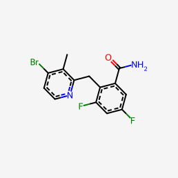 Cc1c(Br)ccnc1Cc1c(F)cc(F)cc1C(N)=O